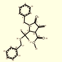 C=C1C(=O)N(Cc2ccccc2)C(C(C)(C)SCc2ccccc2)C1C(=O)OC